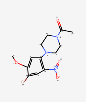 COc1cc(N2CCN(C(C)=O)CC2)c([N+](=O)[O-])cc1Br